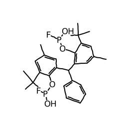 Cc1cc(C(c2ccccc2)c2cc(C)cc(C(C)(C)C)c2OP(O)F)c(OP(O)F)c(C(C)(C)C)c1